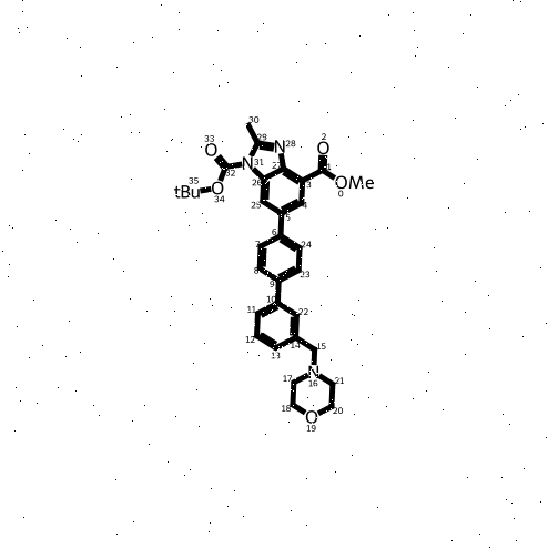 COC(=O)c1cc(-c2ccc(-c3cccc(CN4CCOCC4)c3)cc2)cc2c1nc(C)n2C(=O)OC(C)(C)C